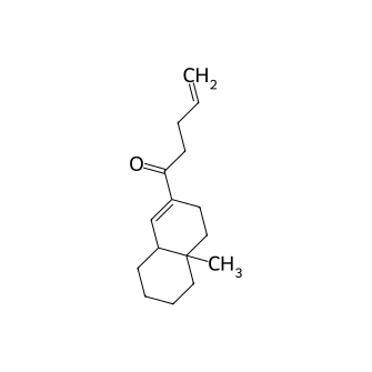 C=CCCC(=O)C1=CC2CCCCC2(C)CC1